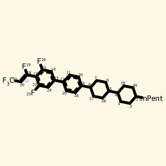 CCCCCC1CCC(C2CCC(c3ccc(-c4cc(F)c(/C(F)=C/C(F)(F)F)c(F)c4)cc3)CC2)CC1